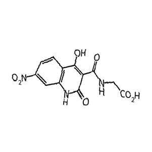 O=C(O)CNC(=O)c1c(O)c2ccc([N+](=O)[O-])cc2[nH]c1=O